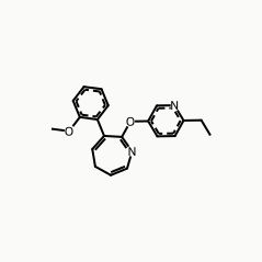 CCc1ccc(OC2=NC=CCC=C2c2ccccc2OC)cn1